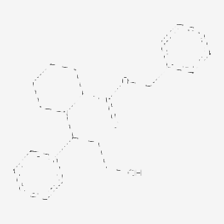 O=C(OCc1ccccc1)[C@H]1CCCCN1C(CCO)c1ccccc1